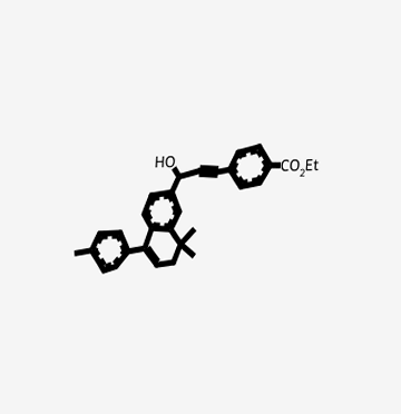 CCOC(=O)c1ccc(C#CC(O)c2ccc3c(c2)C(C)(C)CC=C3c2ccc(C)cc2)cc1